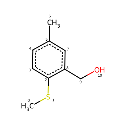 CSc1ccc(C)cc1[CH]O